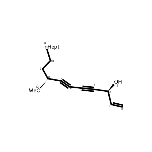 C=C[C@H](O)C#CC#C[C@@H](CCCCCCCCC)OC